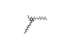 [CH2]Cc1cc(CCCCCCCCCC)nc(CCCCCCCCCC)c1